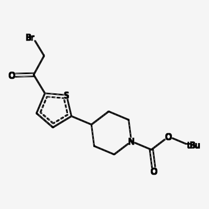 CC(C)(C)OC(=O)N1CCC(c2ccc(C(=O)CBr)s2)CC1